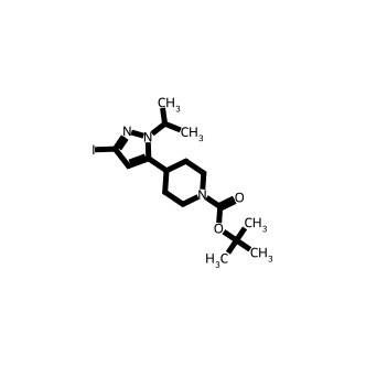 CC(C)n1nc(I)cc1C1CCN(C(=O)OC(C)(C)C)CC1